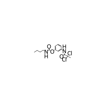 CCCCNC(=O)Oc1cccc(NC(=O)C(C)(Cl)Cl)c1